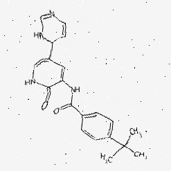 CC(C)(C)c1ccc(C(=O)Nc2cc(C3C=CN=CN3)c[nH]c2=O)cc1